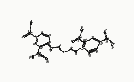 O=[N+]([O-])c1ccc(OCCCOc2ccc([N+](=O)[O-])cc2[N+](=O)[O-])c([N+](=O)[O-])c1